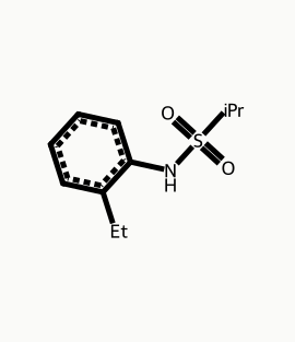 CCc1ccccc1NS(=O)(=O)C(C)C